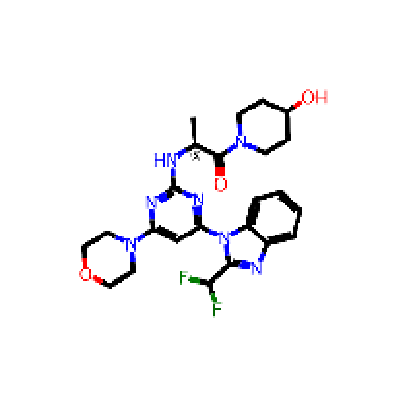 C[C@H](Nc1nc(N2CCOCC2)cc(-n2c(C(F)F)nc3ccccc32)n1)C(=O)N1CCC(O)CC1